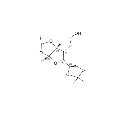 CC1(C)O[C@H]2O[C@@H]([C@H]3COC(C)(C)O3)[C@@H](CCO)[C@H]2O1